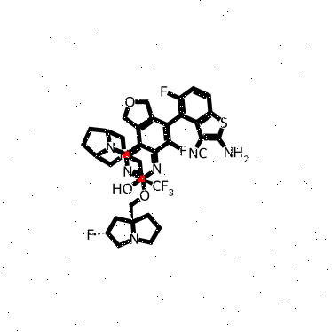 N#Cc1c(N)sc2ccc(F)c(-c3c4c(c5c(N6C7CCC6CN(C[C@H](O)C(F)(F)F)C7)nc(OC[C@@]67CCCN6C[C@H](F)C7)nc5c3F)COC4)c12